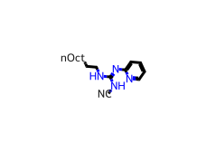 CCCCCCCCCCN/C(=N/c1ccccn1)NC#N